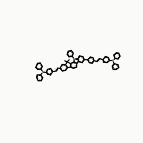 CC1(C)c2cc(/C=C/c3ccc(N(c4ccccc4)c4ccccc4)cc3)ccc2-c2ccc3c4cc(-c5ccc(/C=C/c6ccc(N(c7ccccc7)c7ccccc7)cc6)cc5)ccc4n(-c4ccccc4)c3c21